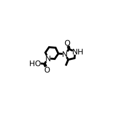 CC1CNC(=O)N1C1CCCN(C(=O)O)C1